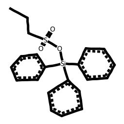 CCCS(=O)(=O)O[Si](c1ccccc1)(c1ccccc1)c1ccccc1